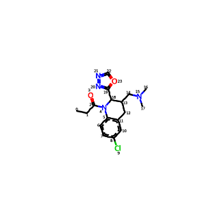 CCC(=O)N1c2ccc(Cl)cc2CC(CN(C)C)C1c1nnco1